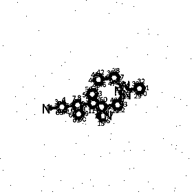 N#Cc1ccc(-c2ccc(-c3cc4c5cccnc5c(-c5cccc(-c6nc(-c7ccccc7)nc(-c7cccc(-c8ccccc8)c7)n6)c5)cc4c4ccccc34)c3ccccc23)cc1